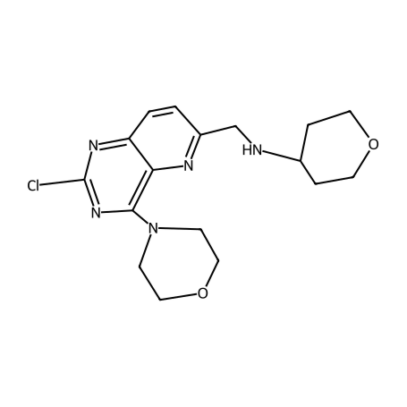 Clc1nc(N2CCOCC2)c2nc(CNC3CCOCC3)ccc2n1